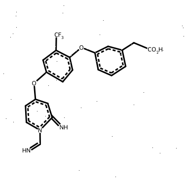 N=Cn1ccc(Oc2ccc(Oc3cccc(CC(=O)O)c3)c(C(F)(F)F)c2)cc1=N